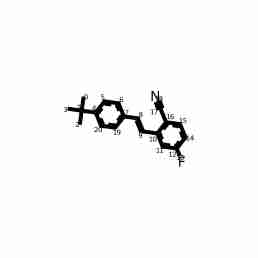 CC(C)(C)c1ccc(C=Cc2cc(F)ccc2C#N)cc1